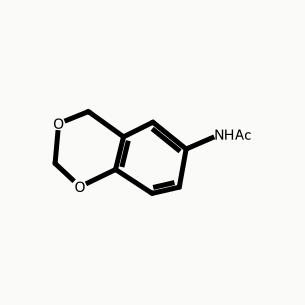 CC(=O)Nc1ccc2c(c1)COCO2